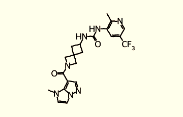 Cc1ncc(C(F)(F)F)cc1NC(=O)NC1CC2(C1)CN(C(=O)c1cnn3ccn(C)c13)C2